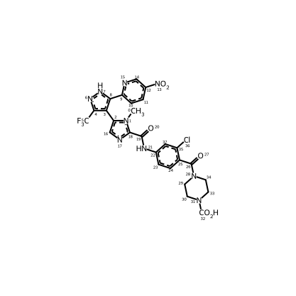 Cn1c(-c2c(C(F)(F)F)n[nH]c2-c2ccc([N+](=O)[O-])cn2)cnc1C(=O)Nc1ccc(C(=O)N2CCN(C(=O)O)CC2)c(Cl)c1